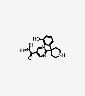 CCN(CC)C(=O)c1cnc(C2(c3cccc(O)c3)CCNCC2)nc1